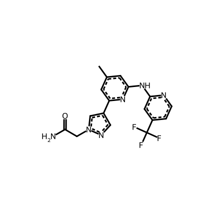 Cc1cc(Nc2cc(C(F)(F)F)ccn2)nc(-c2cnn(CC(N)=O)c2)c1